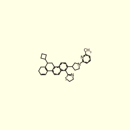 Cc1cccc(N2CCC(c3ccc4c5c(ccc4c3C3=NCCS3)C3=C(CCC=C3)C(C3CCC3)C5)C2)n1